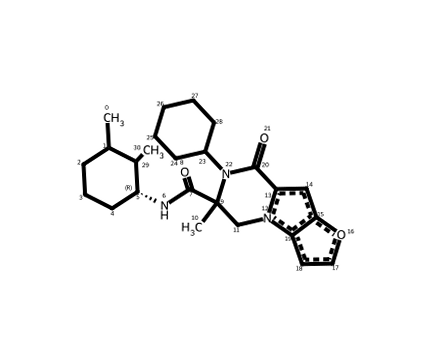 CC1CCC[C@@H](NC(=O)C2(C)Cn3c(cc4occc43)C(=O)N2C2CCCCC2)C1C